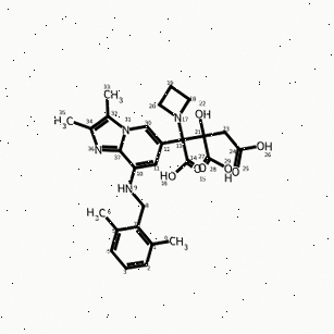 Cc1cccc(C)c1CNc1cc(C(C(=O)O)(N2CCC2)C(O)(CC(=O)O)C(=O)O)cn2c(C)c(C)nc12